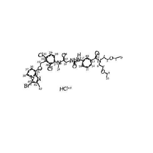 CCOCCN(CCOCC)C(=O)c1cccc(NC(=O)NCC(=O)N(C)c2ccc(Cl)c(COc3cccn4c(Br)c(C)nc34)c2Cl)c1.Cl